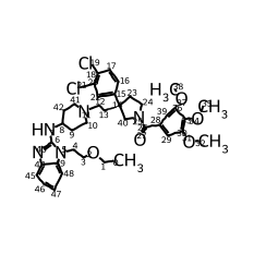 CCOCCn1c(NC2CCN(CC[C@@]3(c4ccc(Cl)c(Cl)c4)CCN(C(=O)c4cc(OC)c(OC)c(OC)c4)C3)CC2)nc2ccccc21